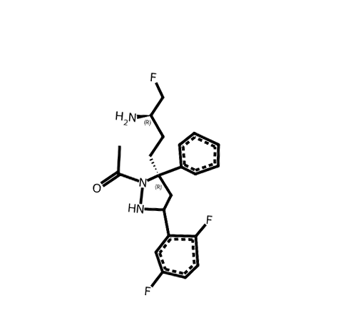 CC(=O)N1NC(c2cc(F)ccc2F)C[C@]1(CC[C@@H](N)CF)c1ccccc1